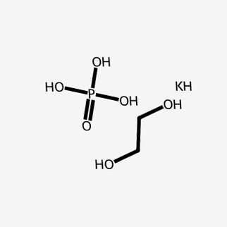 O=P(O)(O)O.OCCO.[KH]